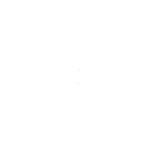 Fc1ccn2c(c1)nc1c3ccccc3[nH]c12